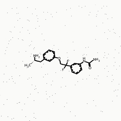 C[C@H](N)Cc1cccc(OCC(F)(F)c2cccc(NC(N)=O)c2)c1